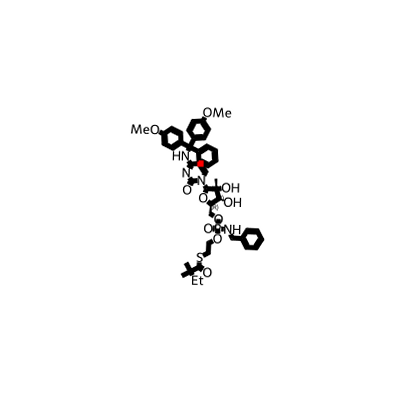 CCC(C)(C)C(=O)SCCOP(=O)(NCc1ccccc1)OC[C@H]1OC(n2ccc(NC(c3ccccc3)(c3ccc(OC)cc3)c3ccc(OC)cc3)nc2=O)[C@](C)(O)[C@@H]1O